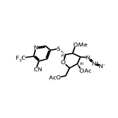 COC1C(N=[N+]=[N-])[C@@H](OC(C)=O)C(COC(C)=O)O[C@@H]1Sc1cnc(C(F)(F)F)c(C#N)c1